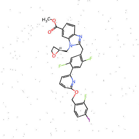 COC(=O)c1ccc2nc(Cc3cc(F)c(-c4cccc(OCc5ccc(I)cc5F)n4)cc3F)n(C[C@@H]3CCO3)c2c1